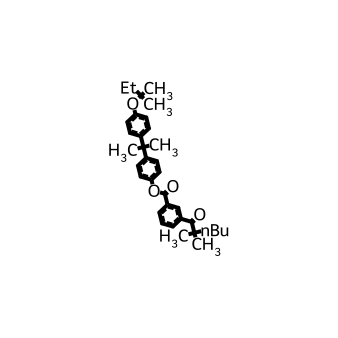 CCCCC(C)(C)C(=O)c1cccc(C(=O)Oc2ccc(C(C)(C)c3ccc(OC(C)(C)CC)cc3)cc2)c1